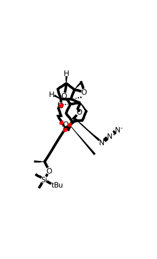 CC1CC[C@@]23COC[C@@H](N=[N+]=[N-])[C@H](C)CCO[C@@H]([C@H](C)O[Si](C)(C)C(C)(C)C)CCCCCO[C@@H]4C[C@@H](O[C@@H]2C1)[C@@]1(CO1)[C@]43C